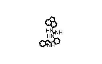 N=C(Nc1ccccc1-c1cc2ccccc2[nH]1)Nc1ccc2c3c(cccc13)C=C2